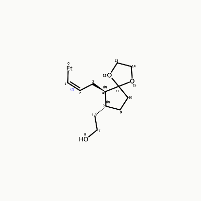 CC/C=C\C[C@@H]1[C@@H](CCO)CCC12OCCO2